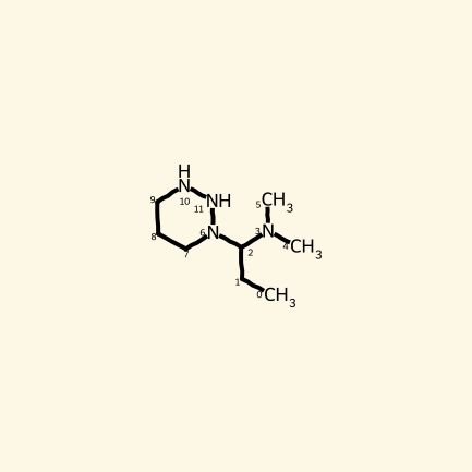 CCC(N(C)C)N1CCCNN1